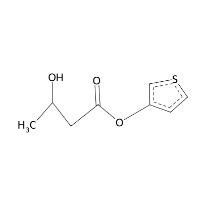 CC(O)CC(=O)Oc1ccsc1